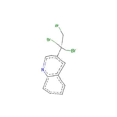 BrCC(Br)(Br)c1cnc2ccccc2c1